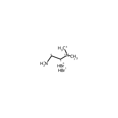 Br.Br.CN(C)CCN